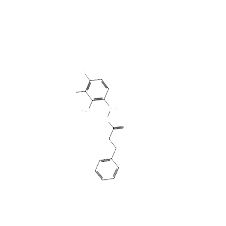 Cc1ccc(NOC(=O)CCc2ccccc2)c(O)c1C